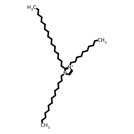 CCCCCCCCCCCCCCCCCc1n(CCCCCCCCCCCCCC)cc[n+]1CCCCCCCCCC